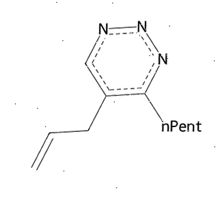 C=CCc1cnnnc1CCCCC